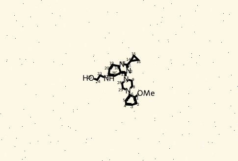 COc1ccccc1N1CCN(c2nc(C3CC3)nc3ccc(NCCO)cc23)CC1